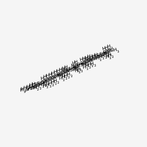 [SiH3][SiH2][SiH2][SiH2][SiH2][SiH2][SiH2][SiH2][SiH2][SiH2][SiH2][SiH2][SiH2][SiH2][SiH2][SiH2][SiH2][SiH2][SiH2][SiH2][SiH2][SiH2][SiH2][SiH2][SiH2][SiH2][SiH2][SiH2][SiH2][SiH2][SiH2][SiH2][SiH2][SiH2][SiH2][SiH2][SiH2][SiH2][SiH2][SiH2][SiH2][SiH2][SiH2][SiH2][SiH2][SiH2][SiH2][SiH2][SiH2][SiH2][SiH2][SiH2][SiH2][SiH2][SiH2][SiH2][SiH2][SiH2][SiH2][SiH2][SiH2][SiH2][SiH2][SiH2][SiH3]